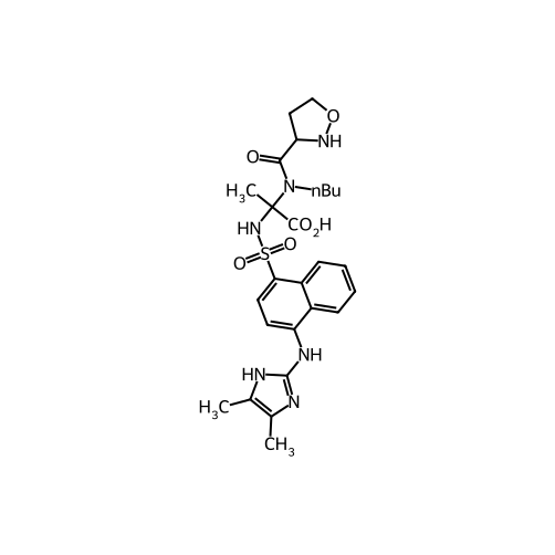 CCCCN(C(=O)C1CCON1)C(C)(NS(=O)(=O)c1ccc(Nc2nc(C)c(C)[nH]2)c2ccccc12)C(=O)O